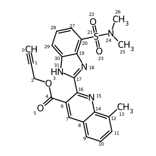 C#CCOC(=O)c1cc2cccc(C)c2nc1-c1nc2c(S(=O)(=O)N(C)C)cccc2[nH]1